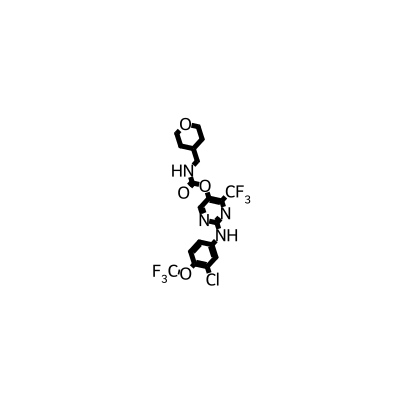 O=C(NCC1CCOCC1)Oc1cnc(Nc2ccc(OC(F)(F)F)c(Cl)c2)nc1C(F)(F)F